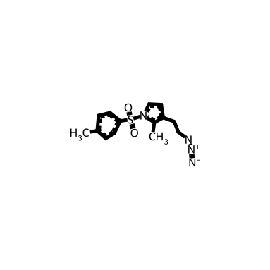 Cc1ccc(S(=O)(=O)n2ccc(CCN=[N+]=[N-])c2C)cc1